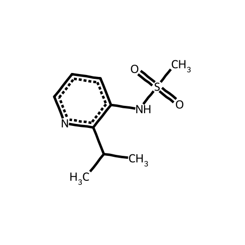 CC(C)c1ncccc1NS(C)(=O)=O